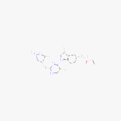 C=CC(=O)Nc1ccc2c(c1)c(C)cn2-c1nc(Nc2cn(C(F)F)nc2C)ncc1F